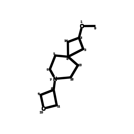 COC1CC2(CCN(C3COC3)CC2)C1